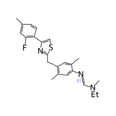 CCN(C)/C=N/c1cc(C)c(Cc2nc(-c3ccc(C)cc3F)cs2)cc1C